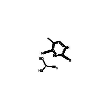 Cc1c[nH]c(=O)[nH]c1=[Se].NP(O)O